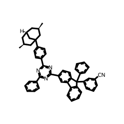 C[C@@H]1C[C@@H]2C[C@H](C)CC(c3ccc(-c4nc(-c5ccccc5)nc(-c5ccc6c(c5)-c5ccccc5C6(c5ccccc5)c5cccc(C#N)c5)n4)cc3)(C1)C2